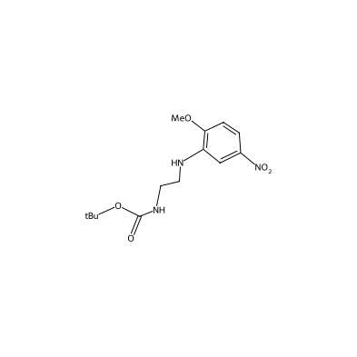 COc1ccc([N+](=O)[O-])cc1NCCNC(=O)OC(C)(C)C